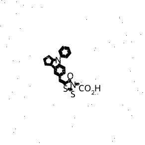 O=C(O)CN1C(=O)/C(=C\c2ccc3c(c2)C2CCCC2N3c2ccccc2)SC1=S